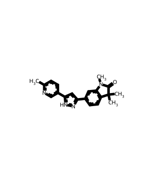 Cc1ccc(-c2cc(-c3ccc4c(c3)N(C)C(=O)C4(C)C)n[nH]2)cn1